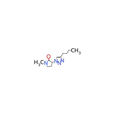 CCCCc1cn(C2CCN(C)C2=O)nn1